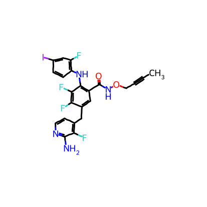 CC#CCONC(=O)c1cc(Cc2ccnc(N)c2F)c(F)c(F)c1Nc1ccc(I)cc1F